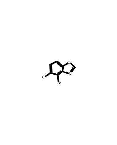 Clc1ccc2scnc2c1Br